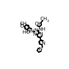 CCCCC(CO)Nc1nc(NCc2ccc(OC)cc2O)nc2cc(-c3ccc(CN4CCCC4)nc3)cnc12